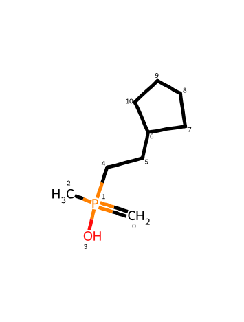 C=P(C)(O)CCC1CCCC1